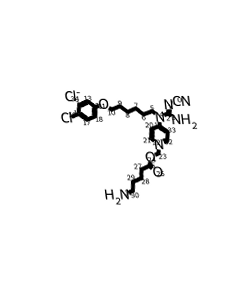 N#CN=C(N)N(CCCCCCOc1ccc(Cl)cc1)c1cc[n+](COC(=O)CCCCN)cc1.[Cl-]